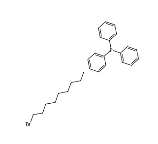 CCCCCCCCCBr.c1ccc(P(c2ccccc2)c2ccccc2)cc1